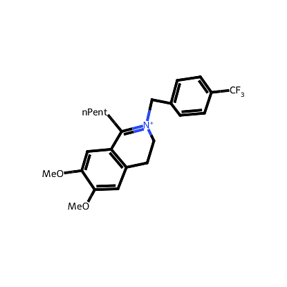 CCCCCC1=[N+](Cc2ccc(C(F)(F)F)cc2)CCc2cc(OC)c(OC)cc21